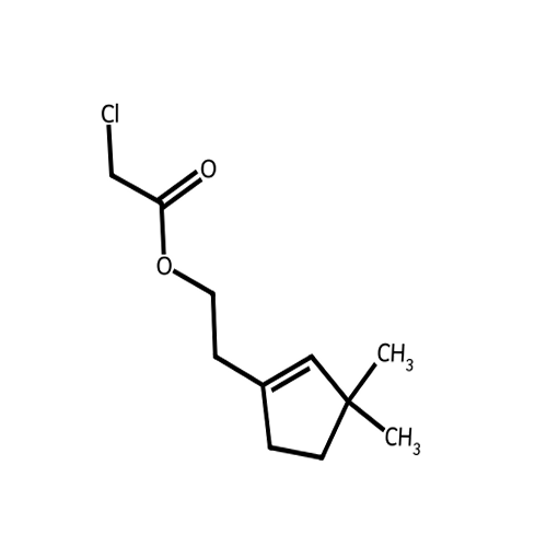 CC1(C)C=C(CCOC(=O)CCl)CC1